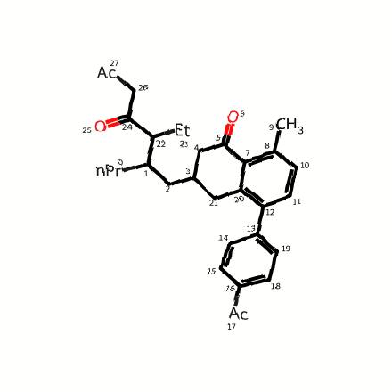 CCCC(CC1CC(=O)c2c(C)ccc(-c3ccc(C(C)=O)cc3)c2C1)C(CC)C(=O)CC(C)=O